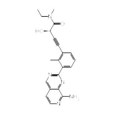 CCN(C)C(=O)[C@H](O)C#Cc1cccc(-c2ncc3ccnc(N)c3n2)c1C